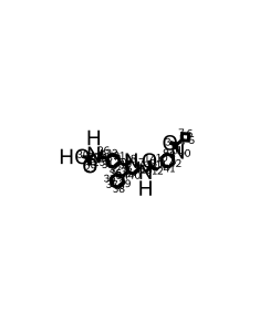 CN(C(=O)C1CCC1)[C@H]1CC[C@H](CC(=O)Nc2cnc(-c3ccc(C(C)(C)NC(=O)O)cc3)c(-c3ccccc3)c2)CC1